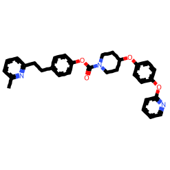 Cc1cccc(CCc2ccc(OC(=O)N3CCC(Oc4ccc(Oc5ccccn5)cc4)CC3)cc2)n1